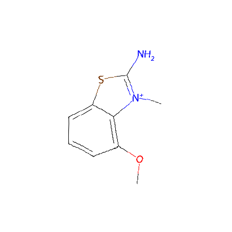 COc1cccc2sc(N)[n+](C)c12